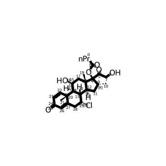 CCCC(=O)O[C@@]1(C(=O)CO)[C@H](C)C[C@H]2[C@H]3[C@H]([C@@H](O)C[C@@]21C)[C@@]1(C)C=CC(=O)C=C1C[C@H]3Cl